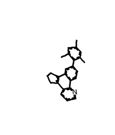 Cc1cc(C)c(-c2ccc3c(c2)C24CCCC2(CCC4)c2cccnc2-3)c(C)c1